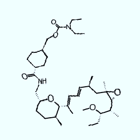 CC[C@H](OC)[C@@H](C)[C@H]1O[C@]1(C)C[C@H](C)/C=C/C=C(\C)[C@H]1O[C@@H](CNC(=O)[C@H]2CC[C@H](COC(=O)N(CC)CC)CC2)CC[C@@H]1C